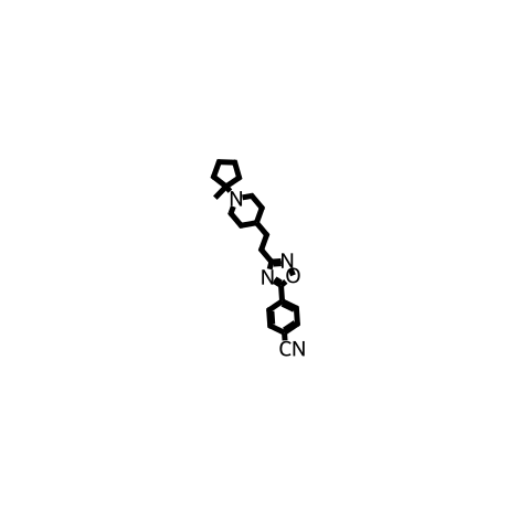 CC1(N2CCC(CCc3noc(-c4ccc(C#N)cc4)n3)CC2)CCCC1